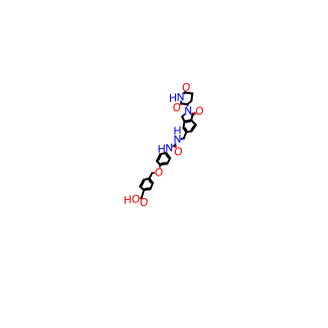 O=C1CCC(N2Cc3cc(CNC(=O)Nc4ccc(OCc5ccc(C(=O)O)cc5)cc4)ccc3C2=O)C(=O)N1